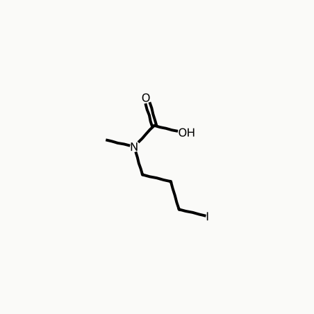 CN(CCCI)C(=O)O